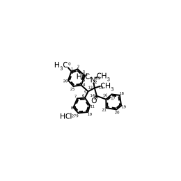 Cc1ccc(C(c2ccccc2)C(C)(C(=O)c2ccccc2)N(C)C)cc1.Cl